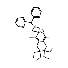 CCC1(CC)CC2=C(C)OC3(CN(C(c4ccccc4)c4ccccc4)C3)C(C)=C2CC1(CC)CC